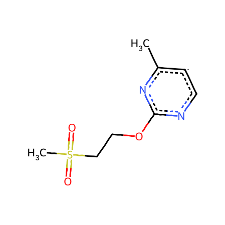 Cc1[c]cnc(OCCS(C)(=O)=O)n1